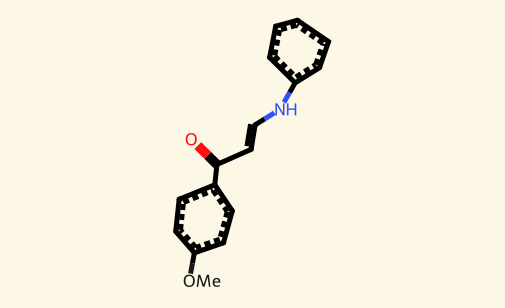 COc1ccc(C(=O)C=CNc2ccccc2)cc1